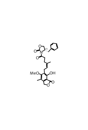 COc1c(C)c2c(c(O)c1CC=C(C)CCC(=O)N1C(=O)OC[C@@H]1Cc1ccccc1)C(=O)OC2